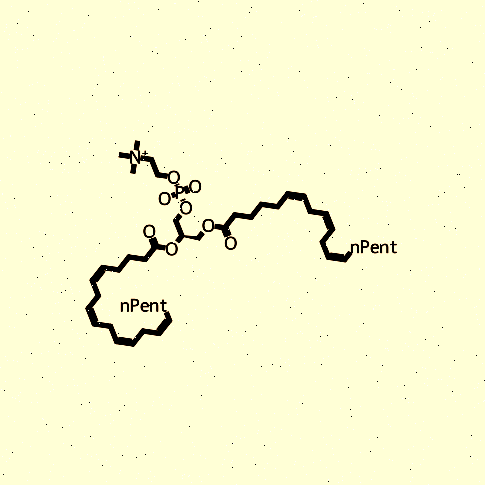 CCCCC/C=C\C/C=C\C/C=C\C/C=C\CCCC(=O)O[C@H](COC(=O)CCCC/C=C\C/C=C\C/C=C\CCCCC)COP(=O)([O-])OCC[N+](C)(C)C